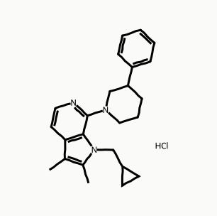 Cc1c(C)n(CC2CC2)c2c(N3CCCC(c4ccccc4)C3)nccc12.Cl